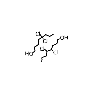 CCCC(Cl)(Cl)CCCCO.CCCC(Cl)C(Cl)CCCO